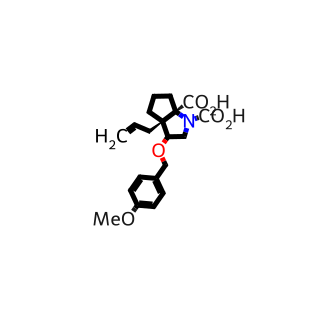 C=CC[C@@]12CCC[C@]1(C(=O)O)N(C(=O)O)CC2OCc1ccc(OC)cc1